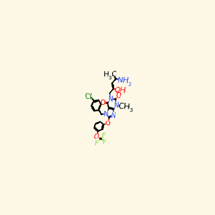 CC(N)/C=C(\O)Cn1c(=O)c2c(nc(Oc3cccc(OC(F)(F)F)c3)n2Cc2ccc(Cl)cc2)n(C)c1=O